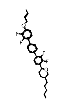 C/C=C/COc1ccc(-c2ccc(-c3ccc(C4CCC(CCCCC)CO4)c(F)c3F)cc2)c(F)c1F